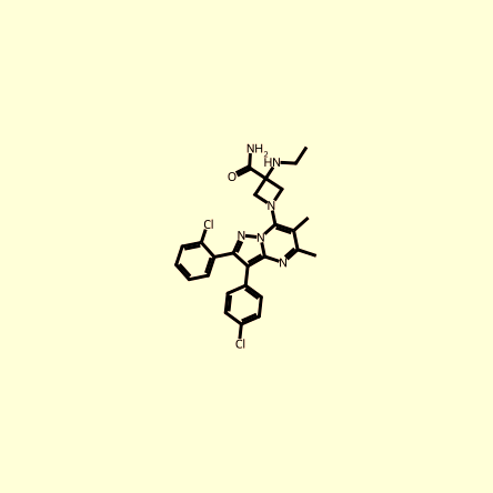 CCNC1(C(N)=O)CN(c2c(C)c(C)nc3c(-c4ccc(Cl)cc4)c(-c4ccccc4Cl)nn23)C1